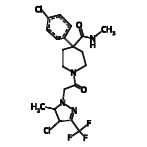 CNC(=O)C1(c2ccc(Cl)cc2)CCN(C(=O)CN2N=C(C(F)(F)F)C(Cl)C2C)CC1